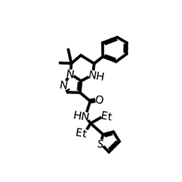 CCC(CC)(NC(=O)c1cnn2c1NC(c1ccccc1)CC2(C)C)c1cccs1